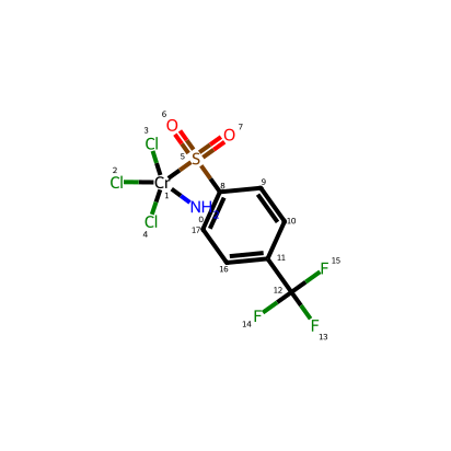 [NH2][Cr]([Cl])([Cl])([Cl])[S](=O)(=O)c1ccc(C(F)(F)F)cc1